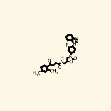 Cc1ccc(C(=O)CCC(=O)NCC2CN(c3ccc(-n4nnc5ccccc54)c(F)c3)C(=O)O2)c(C)c1